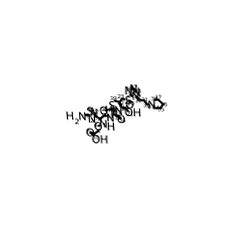 Nc1nc(C(=NOCC(=O)O)C(=O)NC2C(=O)N3C(C(=O)O)=C(CSc4nnnn4CCCN4CCCCC4)CS[C@@H]23)ns1